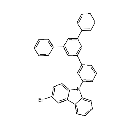 Brc1ccc2c(c1)c1ccccc1n2-c1cccc(-c2cc(C3=CCCC=C3)cc(-c3ccccc3)c2)c1